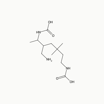 CC(NC(=O)O)C(CN)CC(C)(C)CCNC(=O)O